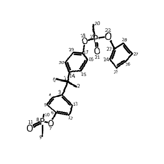 CC(C)(c1ccc(OP(C)(C)=O)cc1)c1ccc(OP(C)(=O)Oc2ccccc2)cc1